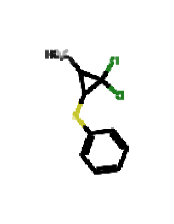 O=C(O)C1C(Sc2ccccc2)C1(Cl)Cl